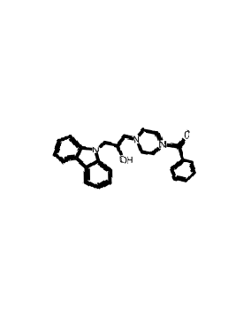 O=C(c1ccccc1)N1CCN(CC(O)Cn2c3ccccc3c3ccccc32)CC1